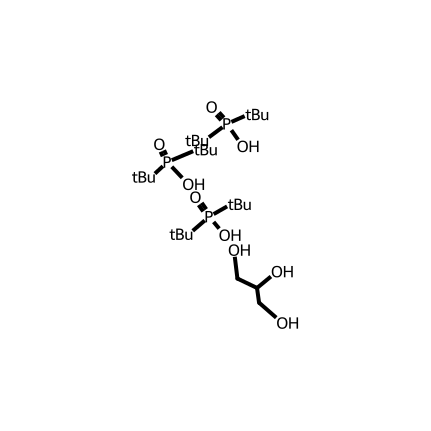 CC(C)(C)P(=O)(O)C(C)(C)C.CC(C)(C)P(=O)(O)C(C)(C)C.CC(C)(C)P(=O)(O)C(C)(C)C.OCC(O)CO